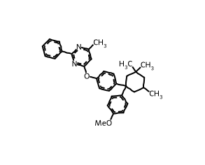 COc1ccc(C2(c3ccc(Oc4cc(C)nc(-c5ccccc5)n4)cc3)CC(C)CC(C)(C)C2)cc1